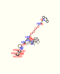 CC(C)C(=O)[C@H](C)NC(=O)[C@@H](NC(=O)[C@@H](CCCCNC(=O)COC1CCCCCc2c1nnn2C1O[C@H](CO)[C@@H](C2O[C@H](CO)[C@@H](O)[C@H](O)[C@H]2O)[C@H](O)[C@H]1O)NC(=O)CCOCCOCCOCCOCCNC(=O)CCC(=O)N1Cc2ccccc2C#Cc2ccccc21)C(C)C